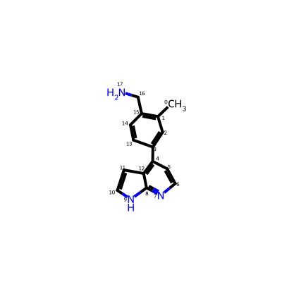 Cc1cc(-c2ccnc3[nH]ccc23)ccc1CN